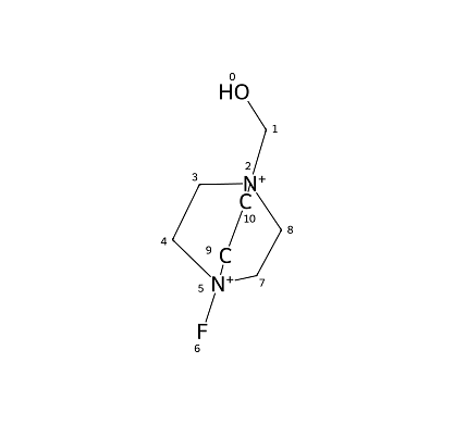 OC[N+]12CC[N+](F)(CC1)CC2